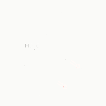 O=C1CC=CC=C1C(=O)c1ccccc1C(=O)O